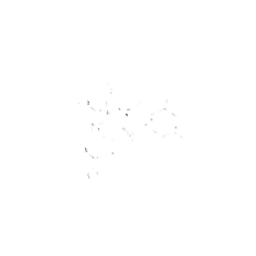 COC(=O)C[C@@H]1NC(=O)[C@@H](C)N(Cc2ccccc2)C1=O